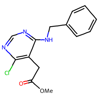 COC(=O)Cc1c(Cl)ncnc1NCc1ccccc1